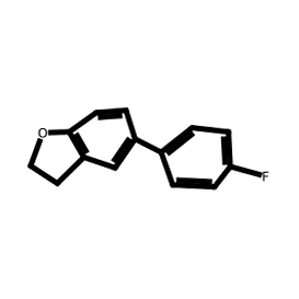 Fc1ccc(-c2ccc3c(c2)CCO3)cc1